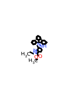 C=CCn1nc2c(c1C(=O)OCC)CCC1=C2CN(C(c2ccccc2)(c2ccccc2)c2ccccc2)N1